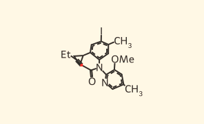 CCC#CC(=O)N(c1cc(C)c(I)cc1C1CC1)c1ncc(C)cc1OC